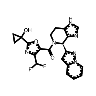 O=C(c1oc(C2(O)CC2)nc1C(F)F)N1CCc2[nH]cnc2[C@H]1c1cc2ccccn2n1